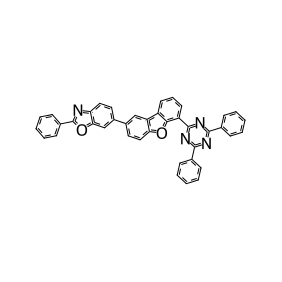 c1ccc(-c2nc(-c3ccccc3)nc(-c3cccc4c3oc3ccc(-c5ccc6nc(-c7ccccc7)oc6c5)cc34)n2)cc1